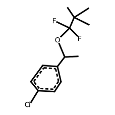 CC(OC(F)(F)C(C)(C)C)c1ccc(Cl)cc1